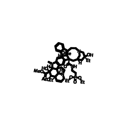 CCOP(=O)(CCNC(=O)[C@]1(c2cc3c(cc2OC)N(C)[C@H]2[C@@](O)(C(=O)OC)[C@H](OC(C)=O)[C@]4(CC)C=CCN5CC[C@]32[C@@H]54)C[C@H]2CN(CCc3c1[nH]c1ccccc31)C[C@](O)(CC)C2)OCC